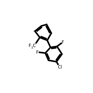 Fc1cc(Cl)cc(F)c1-c1ccc[c]c1C(F)(F)F